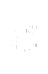 Cl.NCCc1c[nH]c(=S)n1C1CSc2ccc(O)cc2C1